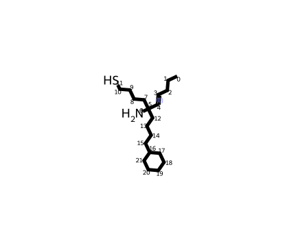 CCC/C=C/C(N)(CCCCS)CCCCC1CCCCC1